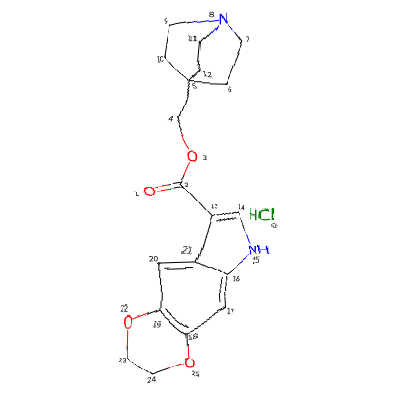 Cl.O=C(OCC12CCN(CC1)CC2)c1c[nH]c2cc3c(cc12)OCCO3